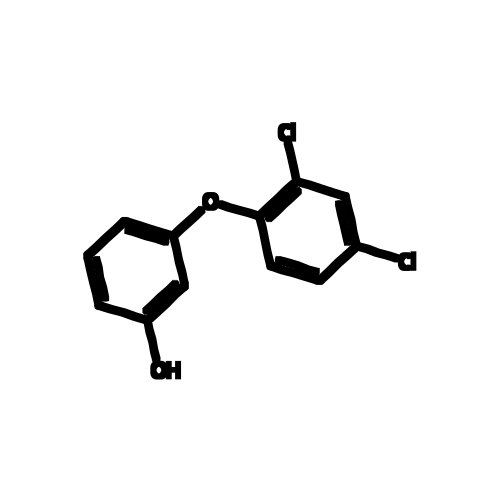 Oc1cccc(Oc2ccc(Cl)cc2Cl)c1